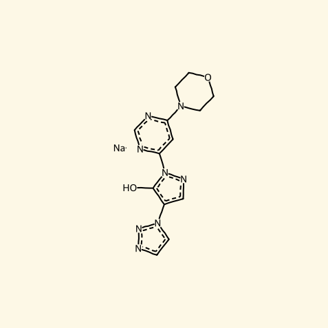 Oc1c(-n2ccnn2)cnn1-c1cc(N2CCOCC2)ncn1.[Na]